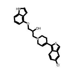 OC(COc1cccc2[nH]ccc12)CN1CC=C(c2scc3cc(Cl)ccc23)CC1